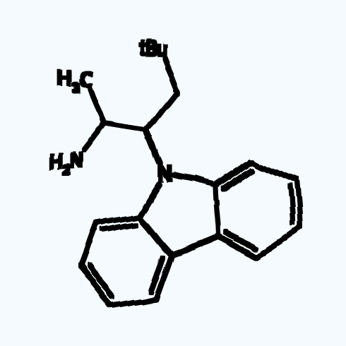 CC(N)C(CC(C)(C)C)n1c2ccccc2c2ccccc21